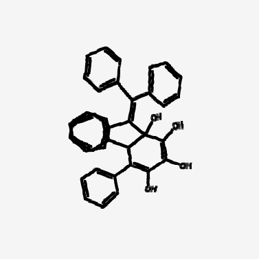 OC1=C(c2ccccc2)C(c2ccccc2)C(O)(C(=C(c2ccccc2)c2ccccc2)c2ccccc2)C(O)=C1O